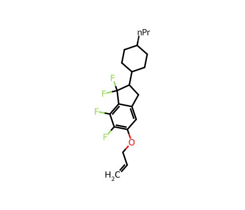 C=CCOc1cc2c(c(F)c1F)C(F)(F)C(C1CCC(CCC)CC1)C2